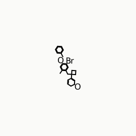 Cc1cc(OCc2ccccc2)c(Br)cc1CC1(C2=CC(=O)CC=C2)CCC1